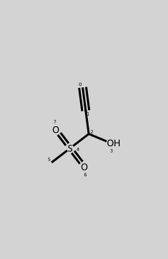 C#CC(O)S(C)(=O)=O